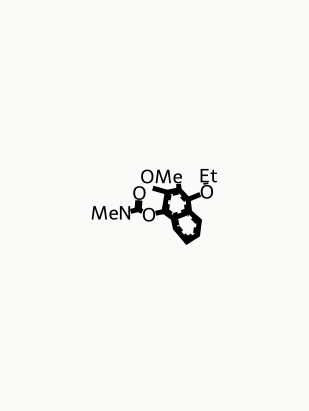 CCOc1c(OC)c(C)c(OC(=O)NC)c2ccccc12